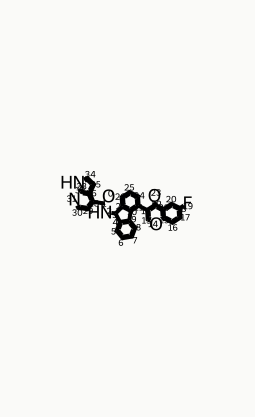 O=C(NC1c2ccccc2-c2c(-c3coc4ccc(F)cc4c3=O)cccc21)c1ccnc2[nH]ccc12